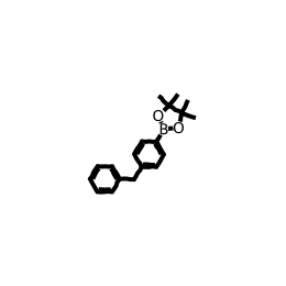 CC1(C)OB(c2ccc(Cc3ccccc3)cc2)OC1(C)C